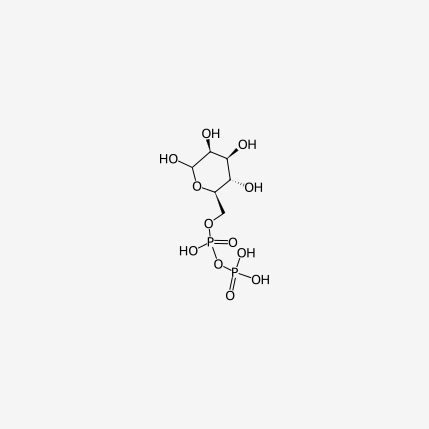 O=P(O)(O)OP(=O)(O)OC[C@H]1OC(O)[C@@H](O)[C@@H](O)[C@@H]1O